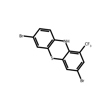 FC(F)(F)c1cc(Br)cc2c1Nc1ccc(Br)cc1S2